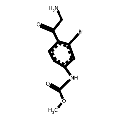 COC(=O)Nc1ccc(C(=O)CN)c(Br)c1